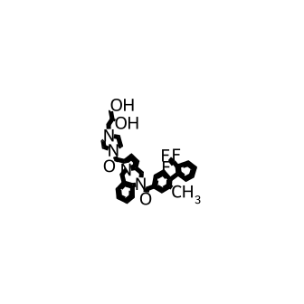 Cc1cc(C(=O)N2Cc3ccc(C(=O)N4CCN(C[C@H](O)CO)CC4)n3Cc3ccccc32)ccc1-c1ccccc1C(F)(F)F